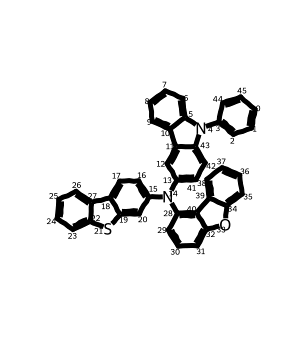 c1ccc(-n2c3ccccc3c3cc(N(c4ccc5c(c4)sc4ccccc45)c4cccc5oc6ccccc6c45)ccc32)cc1